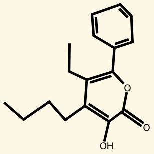 CCCCc1c(CC)c(-c2ccccc2)oc(=O)c1O